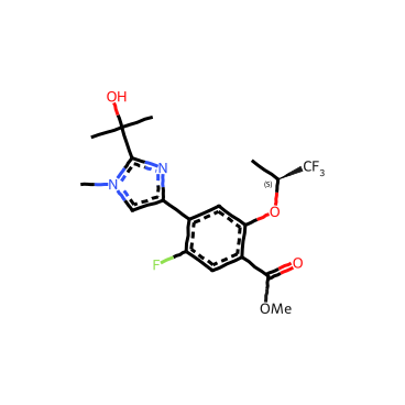 COC(=O)c1cc(F)c(-c2cn(C)c(C(C)(C)O)n2)cc1O[C@@H](C)C(F)(F)F